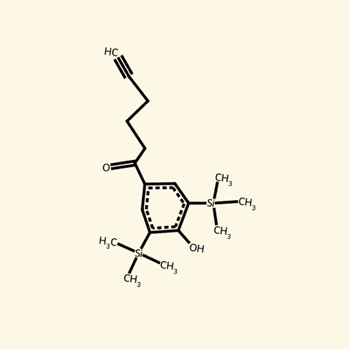 C#CCCCC(=O)c1cc([Si](C)(C)C)c(O)c([Si](C)(C)C)c1